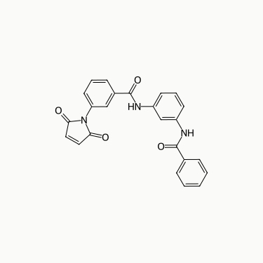 O=C(Nc1cccc(NC(=O)c2cccc(N3C(=O)C=CC3=O)c2)c1)c1ccccc1